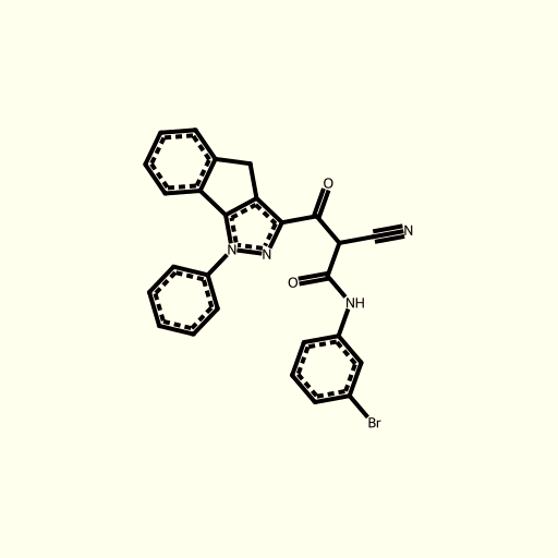 N#CC(C(=O)Nc1cccc(Br)c1)C(=O)c1nn(-c2ccccc2)c2c1Cc1ccccc1-2